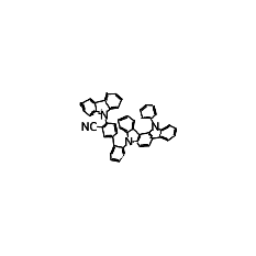 N#Cc1cc(-c2ccccc2-n2c3ccccc3c3c2ccc2c4ccccc4n(-c4ccccc4)c23)ccc1-n1c2ccccc2c2ccccc21